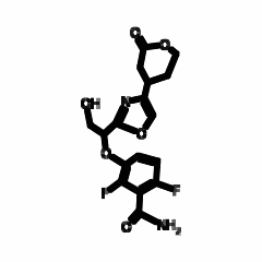 NC(=O)c1c(F)ccc(OC(CO)c2nc(C3CCOC(=O)C3)co2)c1F